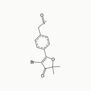 CC1(C)OC(c2ccc(C[S+]=O)cc2)=C(Br)C1=O